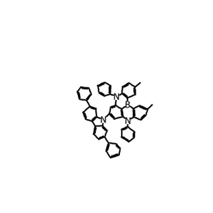 Cc1ccc2c(c1)B1c3cc(C)ccc3N(c3ccccc3)c3cc(-n4c5cc(-c6ccccc6)ccc5c5ccc(-c6ccccc6)cc54)cc(c31)N2c1ccccc1